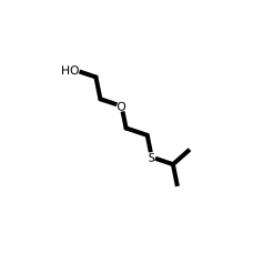 CC(C)SCCOCCO